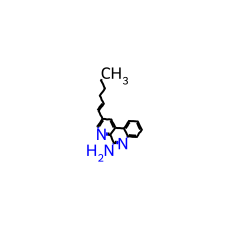 CCCCC=Cc1cnc2c(N)nc3ccccc3c2c1